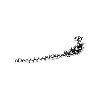 CCCCCCCCCCCCCCCCCCCCCCCCCCCCCC(=O)O[C@H]1CC[C@@]2(C)C(=CC[C@H]3[C@@H]4CC[C@H]([C@H](C)CCCC(C)C)[C@@]4(C)CC[C@@H]32)C1